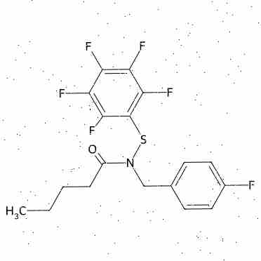 CCCCC(=O)N(Cc1ccc(F)cc1)Sc1c(F)c(F)c(F)c(F)c1F